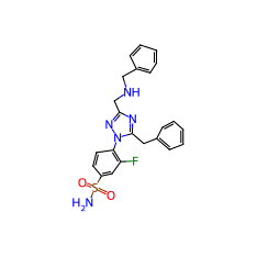 NS(=O)(=O)c1ccc(-n2nc(CNCc3ccccc3)nc2Cc2ccccc2)c(F)c1